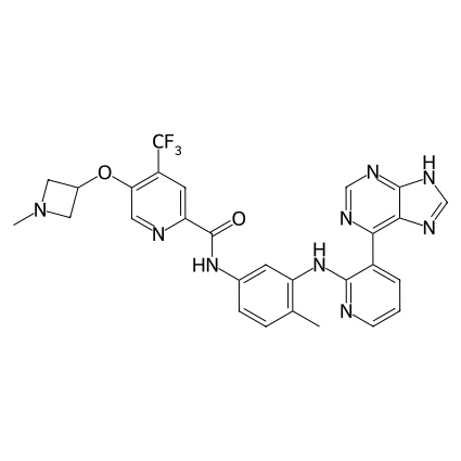 Cc1ccc(NC(=O)c2cc(C(F)(F)F)c(OC3CN(C)C3)cn2)cc1Nc1ncccc1-c1ncnc2[nH]cnc12